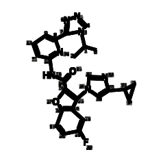 CC(C)n1cnnc1-c1cccc(NC(=O)c2oc3ccc(F)cc3c2-n2cnc(C3CC3)c2)n1